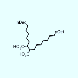 CCCCCCCCC=CCCC=CCC(C(=O)O)C(CCCCCCCCCCCCCCC)C(=O)O